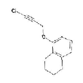 ClC#CCOc1cccc2c1CCCC2